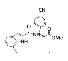 COC(=O)C[C@@H](NC(=O)c1cc2cccc(C)c2[nH]1)c1ccc(C#N)cc1